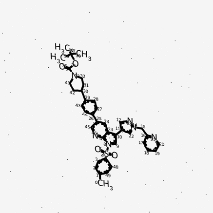 Cc1ccc(S(=O)(=O)n2cc(-c3cnn(Cc4ccccn4)c3)c3cc(-c4ccc(C5CCN(C(=O)OC(C)(C)C)CC5)cc4)cnc32)cc1